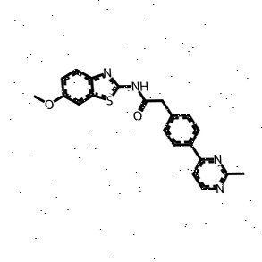 COc1ccc2nc(NC(=O)Cc3ccc(-c4ccnc(C)n4)cc3)sc2c1